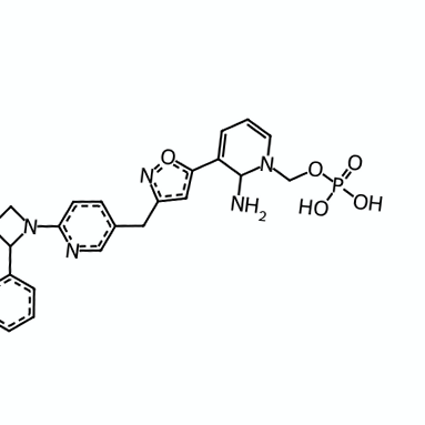 NC1C(c2cc(Cc3ccc(N4CCC4c4ccccc4)nc3)no2)=CC=CN1COP(=O)(O)O